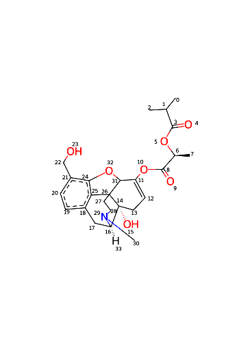 CC(C)C(=O)O[C@@H](C)C(=O)OC1=CC[C@@]2(O)[C@H]3Cc4ccc(CO)c5c4C2(CCN3C)C1O5